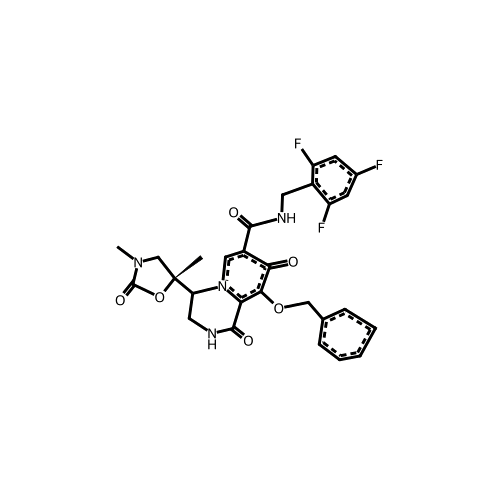 CN1C[C@](C)(C2CNC(=O)c3c(OCc4ccccc4)c(=O)c(C(=O)NCc4c(F)cc(F)cc4F)cn32)OC1=O